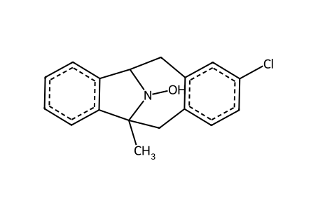 CC12Cc3ccc(Cl)cc3CC(c3ccccc31)N2O